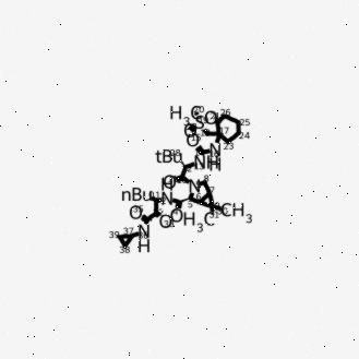 CCCCC(NC(=O)[C@@H]1C2C(CN1C(=O)[C@@H](NC(=O)NC1(CS(C)(=O)=O)CCCCC1)C(C)(C)C)C2(C)C)C(=O)C(=O)NC1CC1